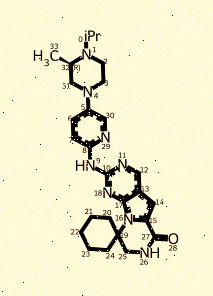 CC(C)N1CCN(c2ccc(Nc3ncc4cc5n(c4n3)C3(CCCCC3)CNC5=O)nc2)C[C@H]1C